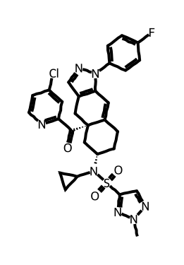 Cn1ncc(S(=O)(=O)N(C2CC2)[C@H]2CCC3=Cc4c(cnn4-c4ccc(F)cc4)C[C@]3(C(=O)c3cc(Cl)ccn3)C2)n1